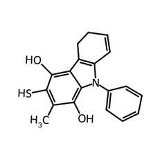 Cc1c(S)c(O)c2c3c(n(-c4ccccc4)c2c1O)C=CCC3